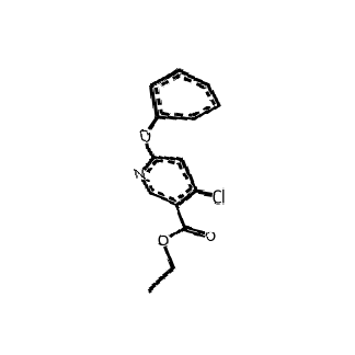 CCOC(=O)c1cnc(Oc2ccccc2)cc1Cl